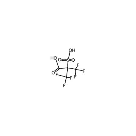 O=C(O)C(C(F)(F)F)(C(F)(F)F)S(=O)(=O)O